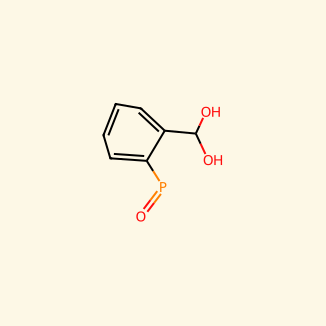 O=Pc1ccccc1C(O)O